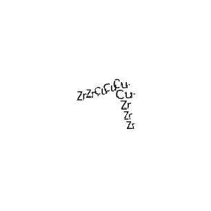 [Cu].[Cu].[Cu].[Cu].[Zr].[Zr].[Zr].[Zr].[Zr]